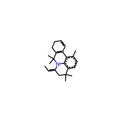 C/C=C1/CC(C)(C)c2ccc(C)c3c2N1C(C)(C)C1=C3C=CCC1